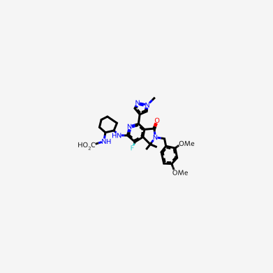 COc1ccc(CN2C(=O)c3c(-c4cnn(C)c4)nc(NC4CCCCC4NC(=O)O)c(F)c3C2(C)C)c(OC)c1